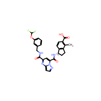 Cc1c(C(=O)O)ccc2c1CC[C@@H]2NC(=O)c1cc(C(=O)NCc2cccc(OC(F)F)c2)nc2ccnn12